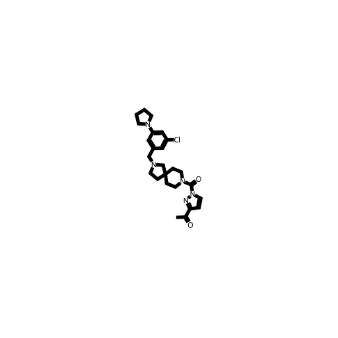 CC(=O)c1ccn(C(=O)N2CCC3(CCN(Cc4cc(Cl)cc(N5CCCC5)c4)C3)CC2)n1